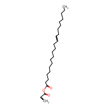 C=CC(=O)OC(=O)CCCCCCCCCCCC=CCCCCCCCC